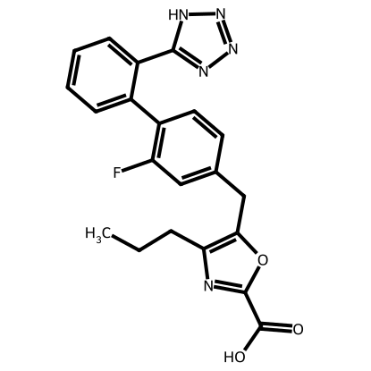 CCCc1nc(C(=O)O)oc1Cc1ccc(-c2ccccc2-c2nnn[nH]2)c(F)c1